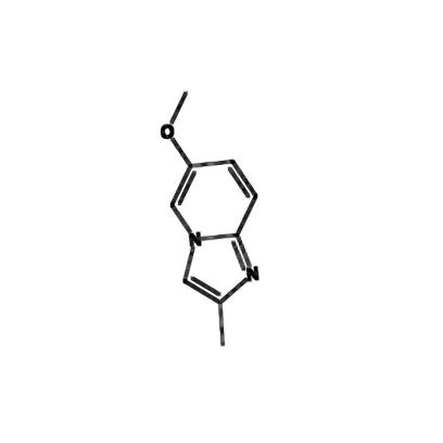 COc1ccc2nc(C)cn2c1